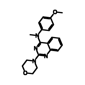 COc1ccc(N(C)c2nc(N3CCOCC3)nc3ccccc23)cc1